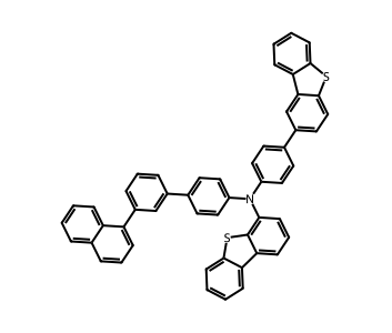 c1cc(-c2ccc(N(c3ccc(-c4ccc5sc6ccccc6c5c4)cc3)c3cccc4c3sc3ccccc34)cc2)cc(-c2cccc3ccccc23)c1